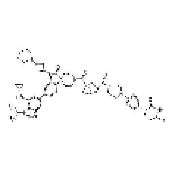 CC(C)n1cnc2cc(-c3ccc4c(c3)N(C3CC(N5CCCCC5)C3)C(=O)C43CCN(C(=O)C45CC(CN(C(=O)C6CCN(c7ccc(C8CCC(=O)NC8=O)cn7)CC6)C4)C5)CC3)nc(NC3CC3)c21